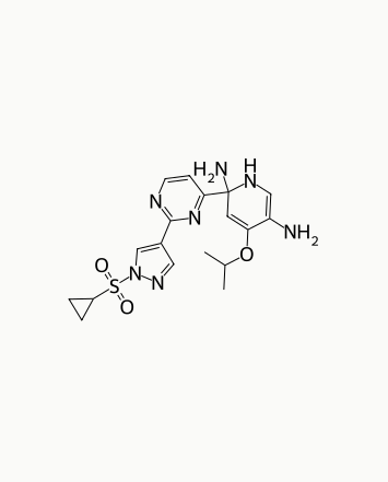 CC(C)OC1=CC(N)(c2ccnc(-c3cnn(S(=O)(=O)C4CC4)c3)n2)NC=C1N